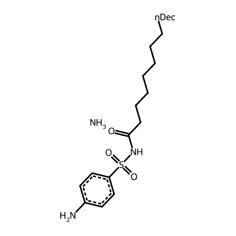 CCCCCCCCCCCCCCCCCC(=O)NS(=O)(=O)c1ccc(N)cc1.N